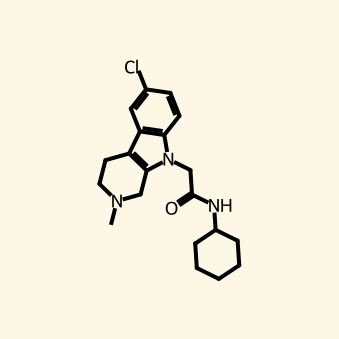 CN1CCc2c(n(CC(=O)NC3CCCCC3)c3ccc(Cl)cc23)C1